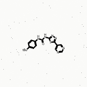 CC(C)(C)c1ccc(NC(=O)Nc2nnc(-c3cncnc3)s2)cc1